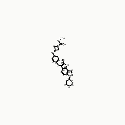 CC(C)(C)OC(=O)N1CC(Oc2ccc(Oc3c(Br)sc4c3ccc3c4cnn3C3CCCCO3)cc2)C1